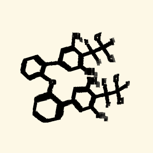 Nc1cc(-c2ccccc2Oc2ccccc2-c2cc(N)c(C(F)(F)C(F)(Cl)Cl)c(N)c2)cc(N)c1C(F)(F)C(F)(Cl)Cl